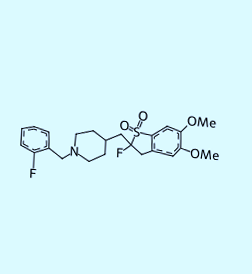 COc1cc2c(cc1OC)S(=O)(=O)C(F)(CC1CCN(Cc3ccccc3F)CC1)C2